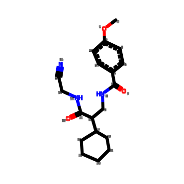 COc1ccc(C(=O)NCC(C(=O)NCC#N)C2CCCCC2)cc1